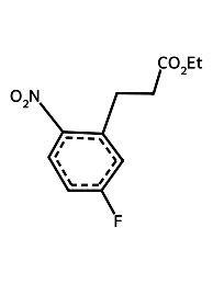 CCOC(=O)CCc1cc(F)ccc1[N+](=O)[O-]